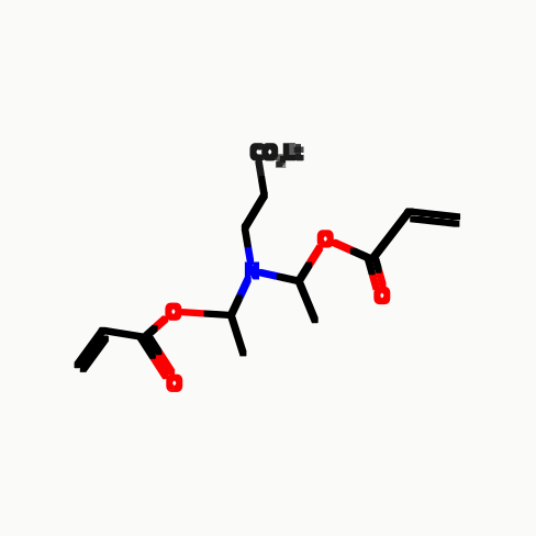 C=CC(=O)OC(C)N(CCC(=O)OCC)C(C)OC(=O)C=C